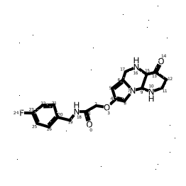 O=C(COc1cc2n(c1)C1NCCC(=O)C1NC2)NCc1ccc(F)cc1